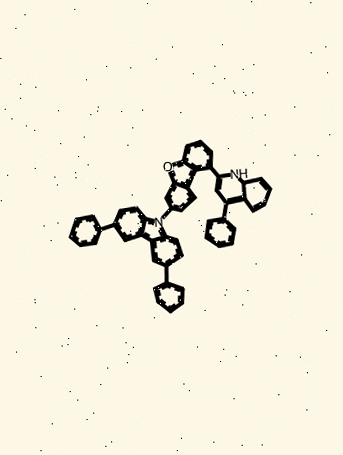 C1=CC2=C(c3ccccc3)C=C(c3cccc4oc5cc(-n6c7ccc(-c8ccccc8)cc7c7cc(-c8ccccc8)ccc76)ccc5c34)NC2C=C1